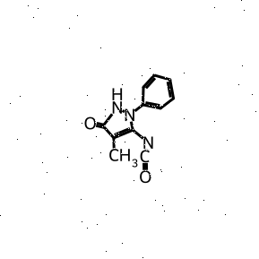 Cc1c(N=C=O)n(-c2ccccc2)[nH]c1=O